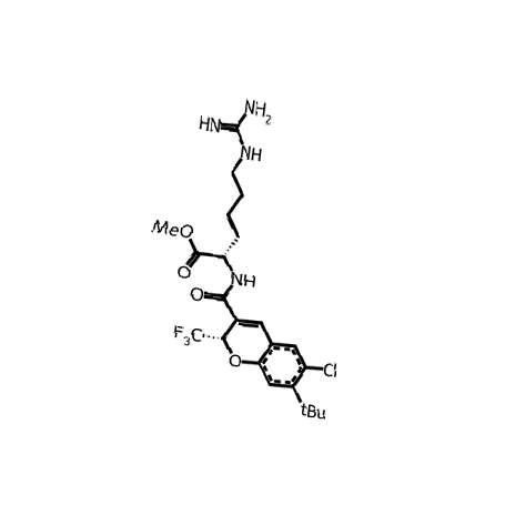 COC(=O)[C@H](CCCCNC(=N)N)NC(=O)C1=Cc2cc(Cl)c(C(C)(C)C)cc2O[C@@H]1C(F)(F)F